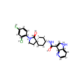 O=C(N[C@H]1CC[C@@]2(CCN(c3ccc(F)cc3Cl)C2=O)CC1)c1c[nH]c2cccnc12